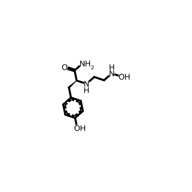 NC(=O)[C@H](Cc1ccc(O)cc1)NCCNO